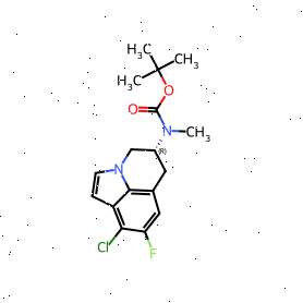 CN(C(=O)OC(C)(C)C)[C@@H]1Cc2cc(F)c(Cl)c3ccn(c23)C1